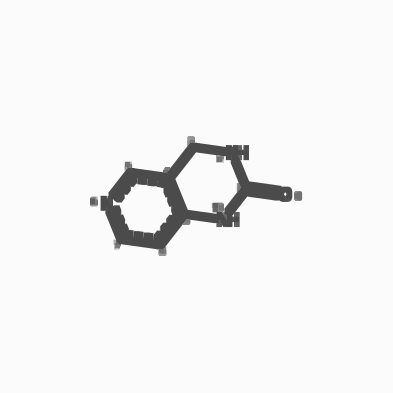 O=C1NCc2cnccc2N1